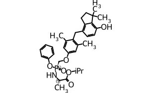 Cc1cc(OC[P@@](=O)(N[C@@H](C)C(=O)OC(C)C)Oc2ccccc2)cc(C)c1Cc1ccc(O)c2c1CCC2(C)C